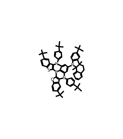 CC(C)(C)c1ccc(N2c3cc(N4c5ccc(C(C)(C)C)cc5C5(C)CCc6ccccc6C45C)cc4c3B(c3oc5ccc(C(C)(C)C)cc5c32)c2sc3ccc(C(C)(C)C)cc3c2N4c2ccc(C(C)(C)C)cc2)cc1